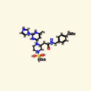 CCCCCCCCS(=O)(=O)N1CCN(c2cc(C)nc(-n3ccnc3)n2)C(CC(=O)NCc2ccc(OC)cc2)C1